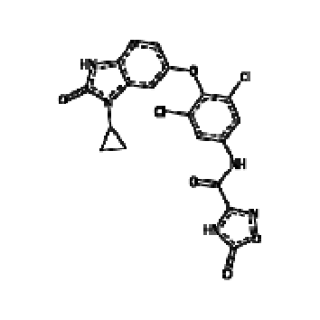 O=C(Nc1cc(Cl)c(Oc2ccc3[nH]c(=O)n(C4CC4)c3c2)c(Cl)c1)c1noc(=O)[nH]1